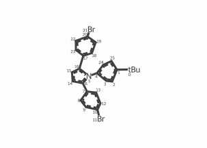 CC(C)(C)c1ccc(-n2c(-c3ccc(Br)cc3)ccc2-c2ccc(Br)cc2)cc1